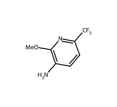 COc1nc(C(F)(F)F)ccc1N